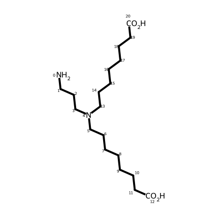 NCCCN(CCCCCCCC(=O)O)CCCCCCCC(=O)O